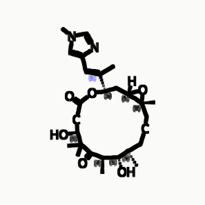 C/C(=C\c1cn(C)cn1)[C@@H]1C[C@@H]2O[C@]2(C)CCC[C@H](C)[C@H](O)[C@@H](C)C(=O)C(C)(C)[C@@H](O)CC(=O)O1